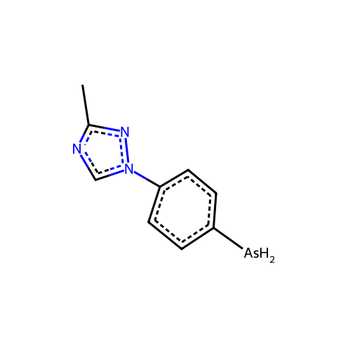 Cc1ncn(-c2ccc([AsH2])cc2)n1